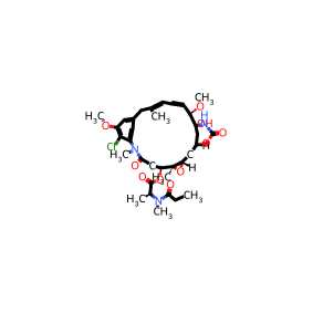 CCC(=O)N(C)[C@@H](C)C(=O)O[C@H]1CC(=O)N(C)c2cc(cc(OC)c2Cl)C/C(C)=C/C=C/[C@@H](OC)[C@@]2(O)C[C@@H](C[C@@H]3O[C@@]13C)OC(=O)N2